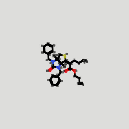 CCCOC(=O)C(CCC)=C1SC[C@@H]2[C@H]1N(Cc1ccccc1)C(=O)N2Cc1ccccc1